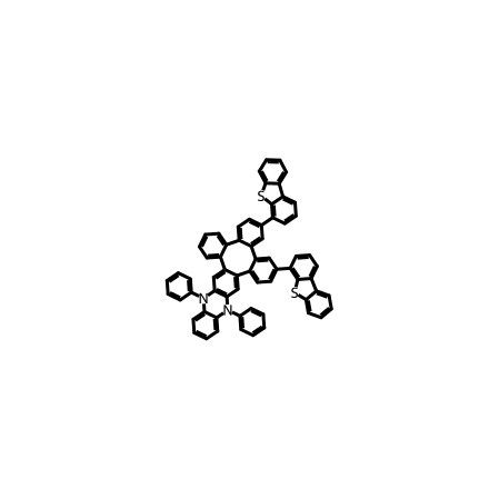 c1ccc(-n2c3ccccc3n(-c3ccccc3)c3cc4c5ccc(-c6cccc7c6sc6ccccc67)cc5c5cc(-c6cccc7c6sc6ccccc67)ccc5c5ccccc5c4cc32)cc1